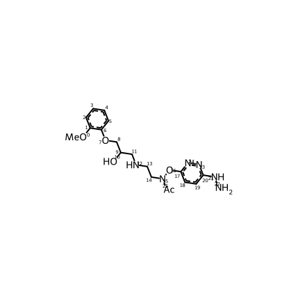 COc1ccccc1OCC(O)CNCCN(Oc1ccc(NN)nn1)C(C)=O